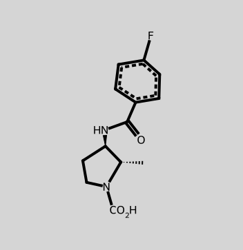 C[C@H]1[C@H](NC(=O)c2ccc(F)cc2)CCN1C(=O)O